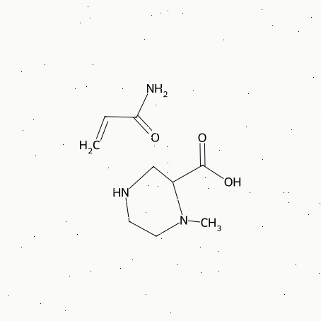 C=CC(N)=O.CN1CCNCC1C(=O)O